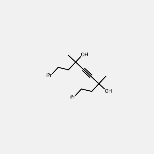 CC(C)CCC(C)(O)C#CC(C)(O)CCC(C)C